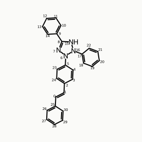 C(=Cc1ccc(N2N=C(c3ccccc3)NN2c2ccccc2)cc1)c1ccccc1